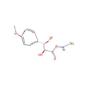 COc1ccc([C@@H](O)[C@H](O)C(=O)ONS)cc1